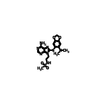 CN(C)c1cc2c(cc1Sc1nc3c(N)ncnc3n1CCNS(C)(=O)=O)OCO2